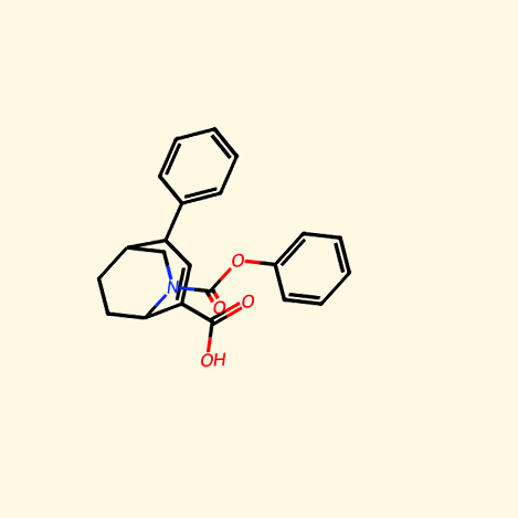 O=C(O)C1=CC(c2ccccc2)C2CCC1N(C(=O)Oc1ccccc1)C2